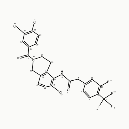 O=C(Cc1ccc(C(F)(F)F)c(F)c1)Nc1c(Cl)ccc2c1CCN(C(=O)c1ccc(Cl)c(Cl)c1)C2